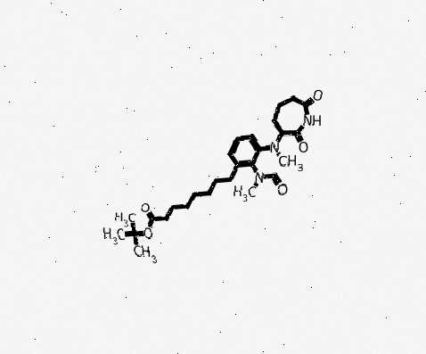 CN(C=O)c1c(CCCCCCCC(=O)OC(C)(C)C)cccc1N(C)C1CCCC(=O)NC1=O